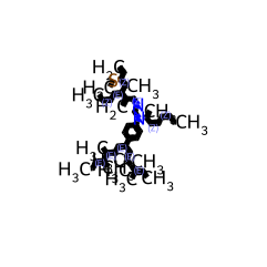 C=C/C(SC)=C(C)/C(=C/C=C\C)C(=C)/C=N\CN(C1=CC=C(C(=C/C=C(C)/C(C)=C/CC)/C=C(\C)C(C)(C)/C(C)=C/C)CC1)C(C)/C=C\C=C/CC